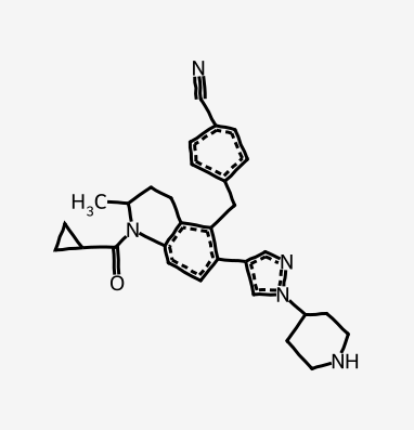 CC1CCc2c(ccc(-c3cnn(C4CCNCC4)c3)c2Cc2ccc(C#N)cc2)N1C(=O)C1CC1